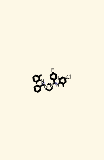 Cc1cccc(C)c1/N=C(\c1ccccc1)N1CCCN(/C(=N/c2c(C)cc(Cl)cc2Cl)c2ccc(F)cc2)C1